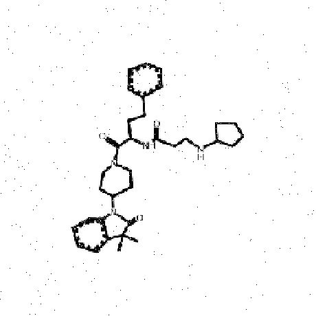 CC1(C)C(=O)N(C2CCN(C(=O)C(CCc3ccccc3)NC(=O)CCNC3CCCC3)CC2)c2ccccc21